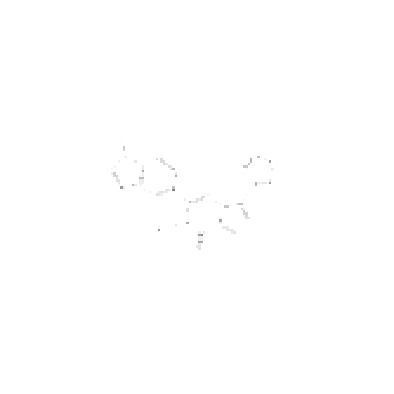 CC(C)n1c(-c2ccc3c(ccn3C)c2)nn2c(-c3cn[nH]c3)cnc2c1=O